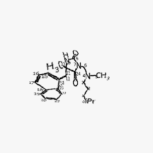 CC(C)CCCN(C)CN1C(=O)NC(C)(Cc2cccc3ccccc23)C1=O